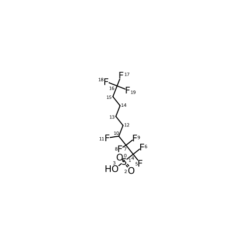 O=S(=O)(O)C(F)(F)C(F)(F)C(F)CCCCC(F)(F)F